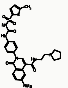 CNc1ccc2c(=O)n(-c3ccc(NC(=O)NS(=O)(=O)c4ccc(C)s4)cc3)cc(C(=O)NCCN3CCCC3)c2c1